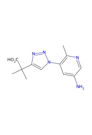 Cc1ncc(N)cc1-n1cc(C(C)(C)C(=O)O)nn1